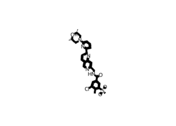 Cc1c(Cl)cc(C(=O)NCc2cc3nc(-c4cccc(N5C[C@@H](C)O[C@@H](C)C5)n4)ccc3cn2)cc1S(C)(=O)=O